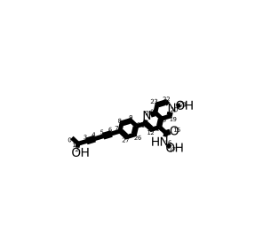 CC(O)C#CC#Cc1ccc(-c2cc(C(=O)NO)c3c[n+](O)ccc3n2)cc1